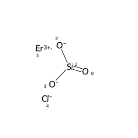 O=[Si]([O-])[O-].[Cl-].[Er+3]